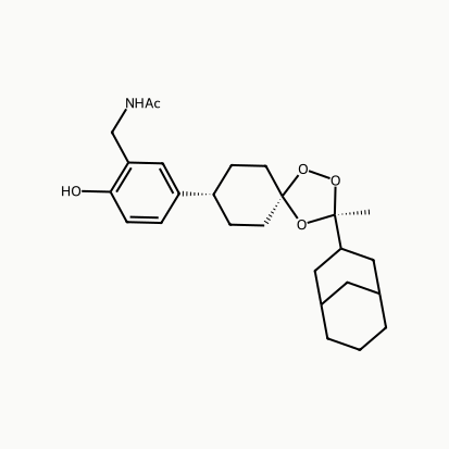 CC(=O)NCc1cc([C@H]2CC[C@]3(CC2)OO[C@@](C)(C2CC4CCCC(C4)C2)O3)ccc1O